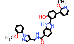 COc1ccccc1-n1cc(CNC(=O)c2ccc3nc(-c4cc(-c5cccnc5OC)ccc4O)[nH]c3c2)cn1